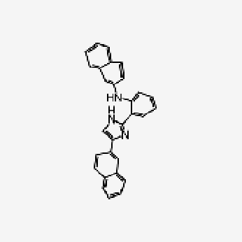 c1ccc(-c2nc(-c3ccc4ccccc4c3)c[nH]2)c(Nc2ccc3ccccc3c2)c1